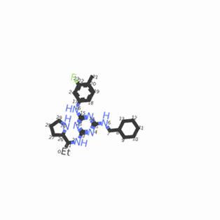 CCC(Nc1nc(NCC2CCCCC2)nc(Nc2ccc(C)c(F)c2)n1)C1CCCN1